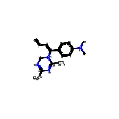 C=CC=C(c1ccc(N(C)C)cc1)N1CN=C(C(Cl)(Cl)Cl)N=C1C(Cl)(Cl)Cl